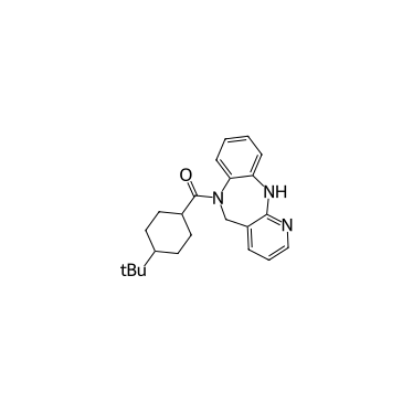 CC(C)(C)C1CCC(C(=O)N2Cc3cccnc3Nc3ccccc32)CC1